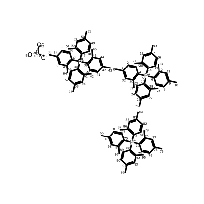 Cc1ccc([P+](c2ccc(C)cc2C)(c2ccc(C)cc2C)c2ccc(C)cc2C)c(C)c1.Cc1ccc([P+](c2ccc(C)cc2C)(c2ccc(C)cc2C)c2ccc(C)cc2C)c(C)c1.Cc1ccc([P+](c2ccc(C)cc2C)(c2ccc(C)cc2C)c2ccc(C)cc2C)c(C)c1.[O-]B([O-])[O-]